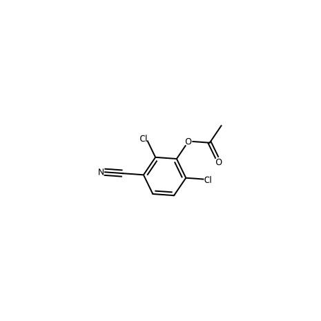 CC(=O)Oc1c(Cl)ccc(C#N)c1Cl